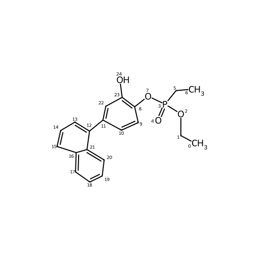 CCOP(=O)(CC)Oc1ccc(-c2cccc3ccccc23)cc1O